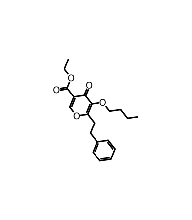 CCCCOc1c(CCc2ccccc2)occ(C(=O)OCC)c1=O